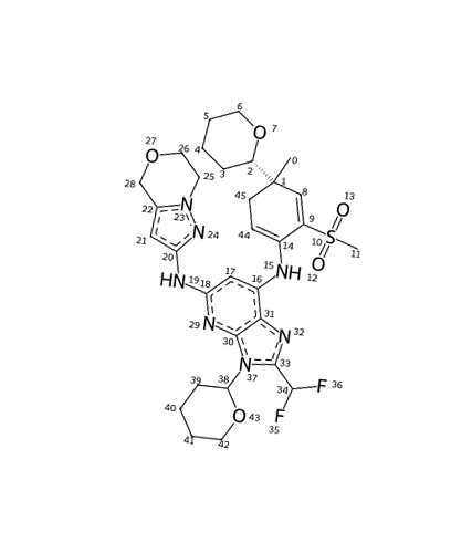 CC1([C@@H]2CCCCO2)C=C(S(C)(=O)=O)C(Nc2cc(Nc3cc4n(n3)CCOC4)nc3c2nc(C(F)F)n3C2CCCCO2)=CC1